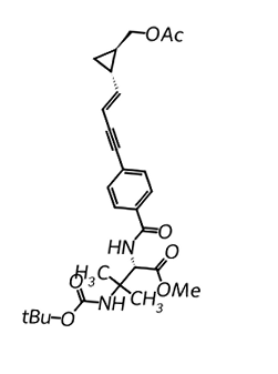 COC(=O)[C@@H](NC(=O)c1ccc(C#C/C=C/[C@@H]2C[C@H]2COC(C)=O)cc1)C(C)(C)NC(=O)OC(C)(C)C